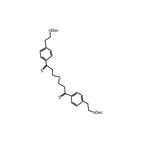 CCCCCCCCCCCCc1ccc(C(=S)CCSCCC(=S)c2ccc(CCCCCCCCCCCC)cc2)cc1